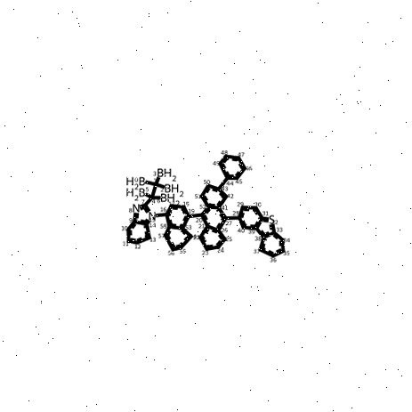 BC(B)(B)C(B)(B)c1nc2ccccc2n1-c1ccc(-c2c3ccccc3c(-c3ccc4sc5ccccc5c4c3)c3cc(-c4ccccc4)ccc23)c2ccccc12